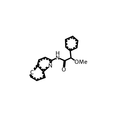 COC(C(=O)Nc1ccc2ccccc2n1)c1ccccc1